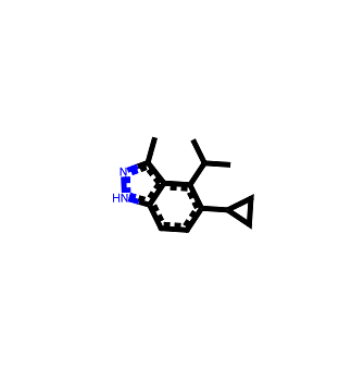 Cc1n[nH]c2ccc(C3CC3)c(C(C)C)c12